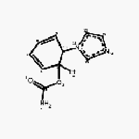 CCC1(OC(N)=O)C=CC=CC1n1ccnc1